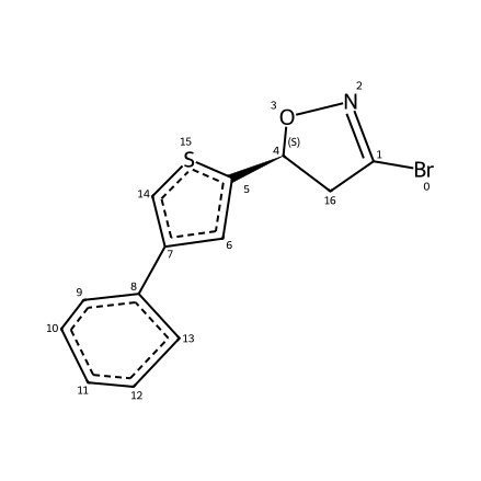 BrC1=NO[C@H](c2cc(-c3ccccc3)cs2)C1